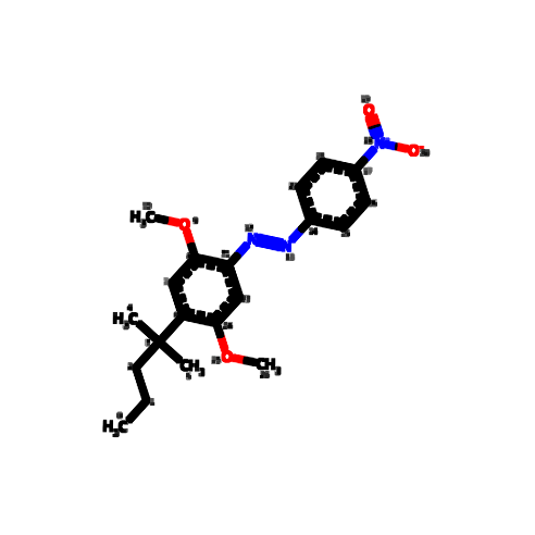 CCCC(C)(C)c1cc(OC)c(/N=N/c2ccc([N+](=O)[O-])cc2)cc1OC